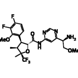 COC[C@H](N)c1cc(NC(=O)[C@@H]2O[C@@](C)(C(F)(F)F)[C@@H](C)[C@H]2c2ccc(F)c(F)c2OC)ncn1